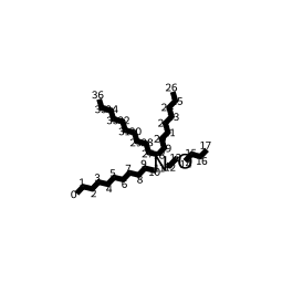 CCCCCCCCCCCN(CCOCCC)C(CCCCCCCC)CCCCCCCCCC